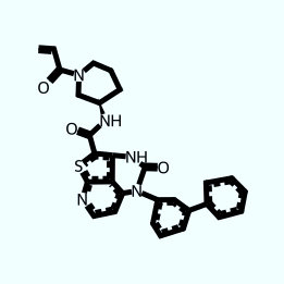 C=CC(=O)N1CCC[C@@H](NC(=O)c2sc3nccc4c3c2NC(=O)N4c2cccc(-c3ccccc3)c2)C1